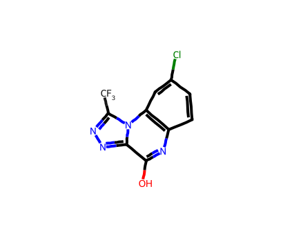 Oc1nc2ccc(Cl)cc2n2c(C(F)(F)F)nnc12